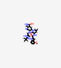 COc1cccc2[nH]c(C(=O)NC(CC(C)C)C(=O)NC(CC3CCNC3O)C(C#N)NCc3cnc(C(C)(C)C)[nH]3)cc12